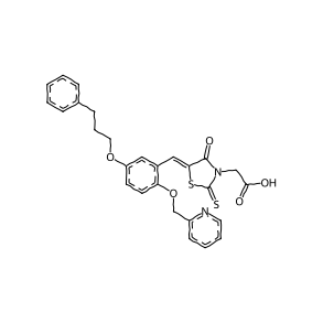 O=C(O)CN1C(=O)C(=Cc2cc(OCCCc3ccccc3)ccc2OCc2ccccn2)SC1=S